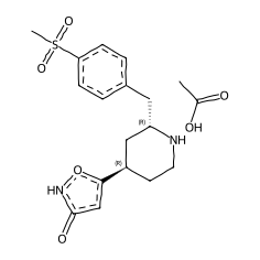 CC(=O)O.CS(=O)(=O)c1ccc(C[C@H]2C[C@H](c3cc(=O)[nH]o3)CCN2)cc1